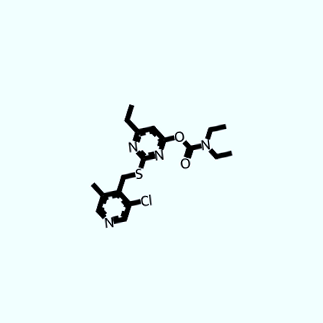 CCc1cc(OC(=O)N(CC)CC)nc(SCc2c(C)cncc2Cl)n1